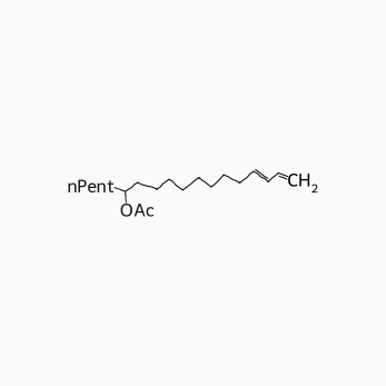 C=CC=CCCCCCCCCC(CCCCC)OC(C)=O